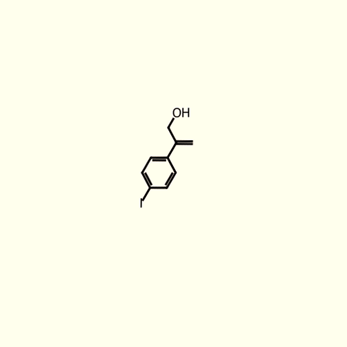 C=C(CO)c1ccc(I)cc1